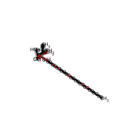 COCCOCCOCCOCCOCCOCCOCCOCCOCCOCCOCCOCCOCCOCCOCCOCCOCCOCCOCCOCCOCCOCCOCCOCCNC(=O)CCCCC[n+]1c(C=CC=C2Oc3ccc(C(C)(C)C)cc3N2CCCSOOOC)n(CCCCCC(=O)O)c2cc(Cl)c(Cl)cc21